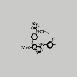 COc1cc2ncnc(Nc3ccc(F)c(Cl)c3)c2cc1O[C@H]1CC[C@@H](N(C)C(=O)OC(C)(C)C)CC1